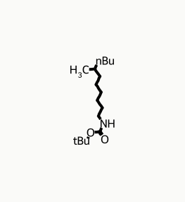 CCCCC(C)CCCCCCNC(=O)OC(C)(C)C